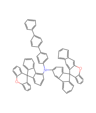 c1ccc(-c2ccc(-c3ccc(N(c4ccc5c(c4)-c4ccccc4C54c5ccccc5Oc5cc6ccccc6cc54)c4cccc5c4-c4ccccc4C54c5ccccc5Oc5ccccc54)cc3)cc2)cc1